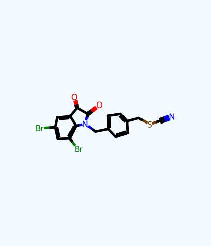 N#CSCc1ccc(CN2C(=O)C(=O)c3cc(Br)cc(Br)c32)cc1